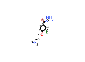 CN(C)CCCOc1ccc(C(=O)NN)cc1Cl